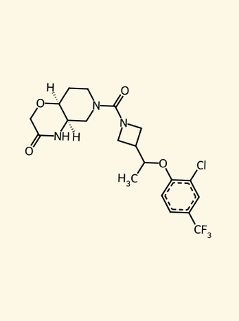 CC(Oc1ccc(C(F)(F)F)cc1Cl)C1CN(C(=O)N2CC[C@@H]3OCC(=O)N[C@@H]3C2)C1